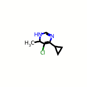 CC1NC=NC(C2CC2)=C1Cl